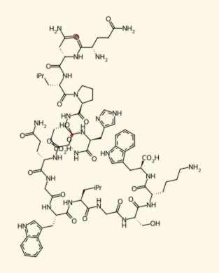 CC(C)C[C@H](NC(=O)[C@H](Cc1c[nH]c2ccccc12)NC(=O)CNC(=O)[C@H](CCC(N)=O)NC(=O)[C@@H](NC(=O)[C@H](Cc1c[nH]cn1)NC(=O)[C@H](CCC(=O)O)NC(=O)[C@@H]1CCCN1C(=O)[C@H](CC(C)C)NC(=O)[C@H](CC(N)=O)NC(=O)[C@@H](N)CCC(N)=O)[C@@H](C)O)C(=O)NCC(=O)N[C@@H](CO)C(=O)N[C@@H](CCCCN)C(=O)N[C@@H](Cc1c[nH]c2ccccc12)C(=O)O